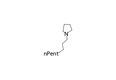 [CH2]CCCCCCCN1CCCC1